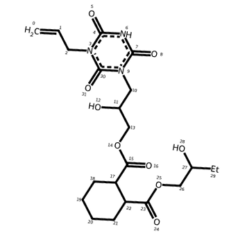 C=CCn1c(=O)[nH]c(=O)n(CC(O)COC(=O)C2CCCCC2C(=O)OCC(O)CC)c1=O